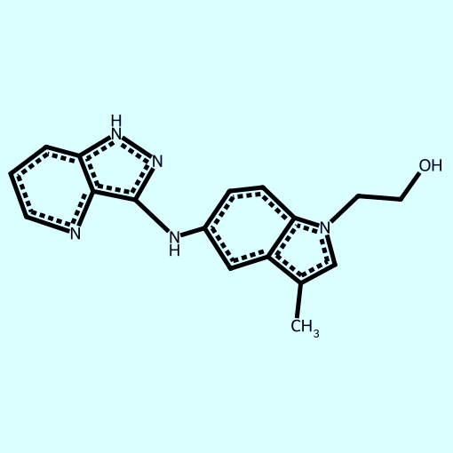 Cc1cn(CCO)c2ccc(Nc3n[nH]c4cccnc34)cc12